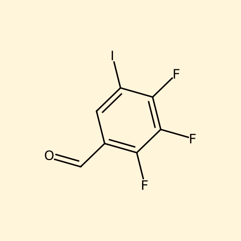 O=Cc1cc(I)c(F)c(F)c1F